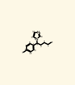 CCCCC(c1ccc(C)cc1)n1ccnc1